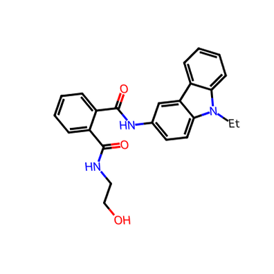 CCn1c2ccccc2c2cc(NC(=O)c3ccccc3C(=O)NCCO)ccc21